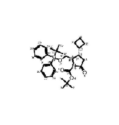 CC(C)(C)OC(=O)N1C(=O)C[C@@H](C2CCC2)[C@@H]1CO[Si](c1ccccc1)(c1ccccc1)C(C)(C)C